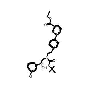 CCOC(=O)c1cccc(-c2ccc(CCN(C[C@H](O)c3cccc(Cl)c3)C(=O)OC(C)(C)C)cc2)c1